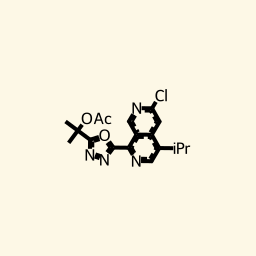 CC(=O)OC(C)(C)c1nnc(-c2ncc(C(C)C)c3cc(Cl)ncc23)o1